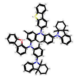 Cc1cc2c3c(c1)N(c1cccc4c1oc1ccccc14)c1cc(N4c5ccccc5C5(C)CCCCC45C)ccc1B3c1ccc(N3c4ccccc4C4(C)CCCCC34C)cc1N2c1ccc2c(c1)sc1ccccc12